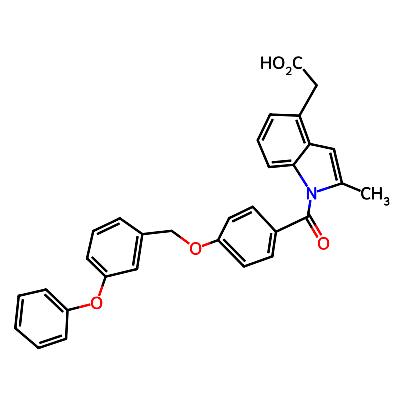 Cc1cc2c(CC(=O)O)cccc2n1C(=O)c1ccc(OCc2cccc(Oc3ccccc3)c2)cc1